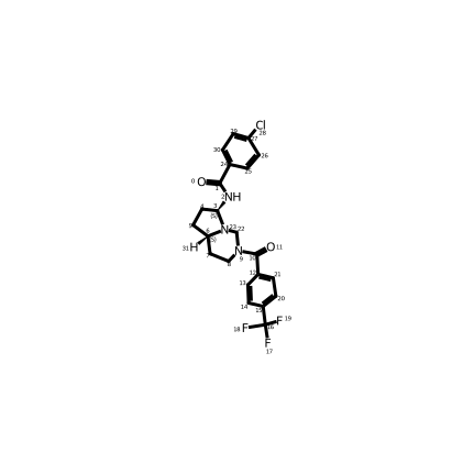 O=C(N[C@@H]1CC[C@H]2CCN(C(=O)c3ccc(C(F)(F)F)cc3)CN21)c1ccc(Cl)cc1